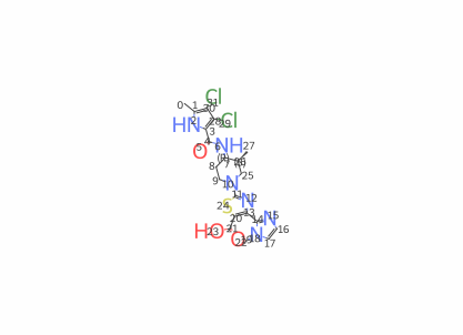 Cc1[nH]c(C(=O)N[C@@H]2CCN(c3nc(-c4nccn4C)c(C(=O)O)s3)C[C@@H]2C)c(Cl)c1Cl